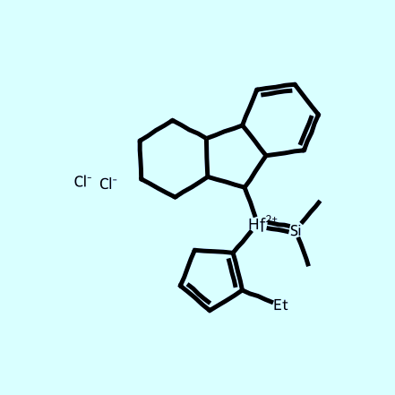 CCC1=[C]([Hf+2]([CH]2C3C=CC=CC3C3CCCCC32)=[Si](C)C)CC=C1.[Cl-].[Cl-]